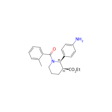 CCOC(=O)[C@H]1CCCN(C(=O)c2ccccc2C)[C@H]1c1ccc(N)cc1